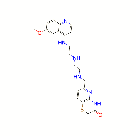 COc1ccc2nccc(NCCNCCNCc3ccc4c(n3)NC(=O)CS4)c2c1